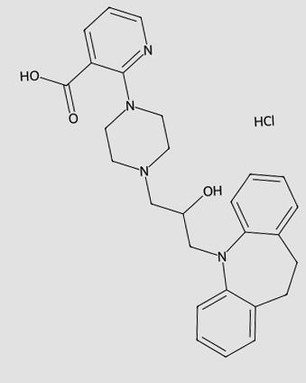 Cl.O=C(O)c1cccnc1N1CCN(CC(O)CN2c3ccccc3CCc3ccccc32)CC1